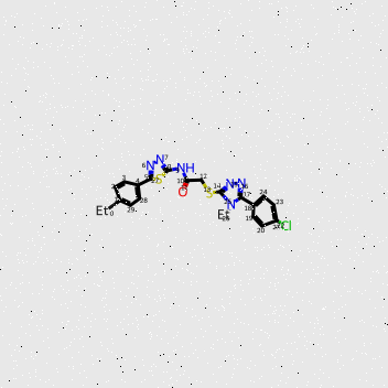 CCc1ccc(-c2nnc(NC(=O)CSc3nnc(-c4ccc(Cl)cc4)n3CC)s2)cc1